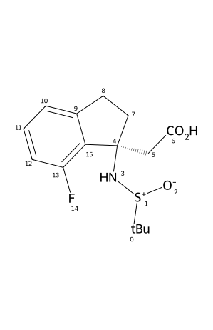 CC(C)(C)[S+]([O-])N[C@]1(CC(=O)O)CCc2cccc(F)c21